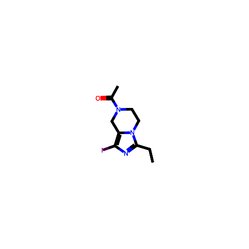 CCc1nc(I)c2n1CCN(C(C)=O)C2